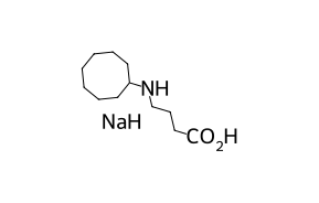 O=C(O)CCCNC1CCCCCCC1.[NaH]